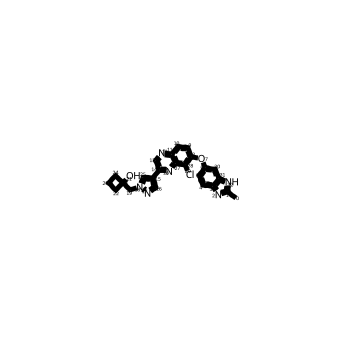 Cc1nc2ccc(Oc3ccc4ncc(-c5cnn(CC6(O)CCC6)c5)nc4c3Cl)cc2[nH]1